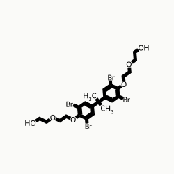 CC(C)(c1cc(Br)c(OCCOCCO)c(Br)c1)c1cc(Br)c(OCCOCCO)c(Br)c1